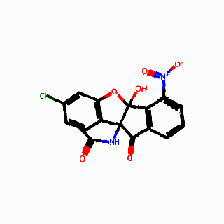 CC(=O)NC12C(=O)c3cccc([N+](=O)[O-])c3C1(O)Oc1cc(Cl)ccc12